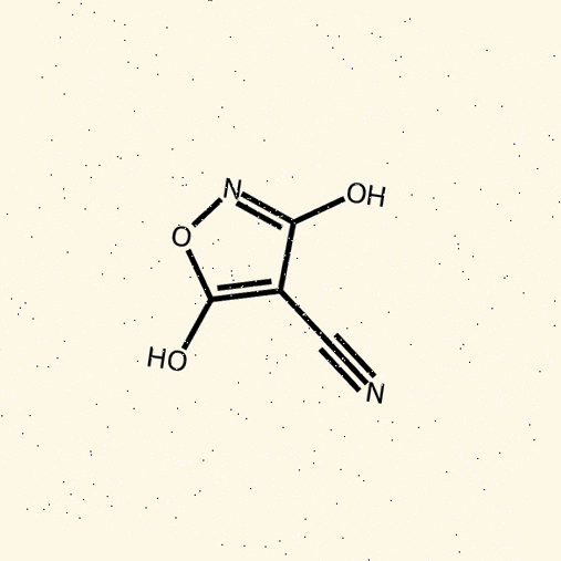 N#Cc1c(O)noc1O